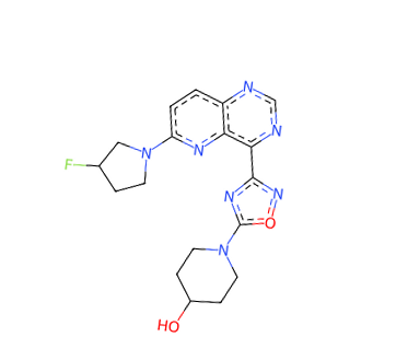 OC1CCN(c2nc(-c3ncnc4ccc(N5CCC(F)C5)nc34)no2)CC1